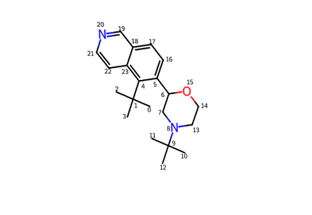 CC(C)(C)c1c(C2CN(C(C)(C)C)CCO2)ccc2cnccc12